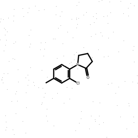 Cc1ccc(N2CCCC2=O)c(Cl)c1